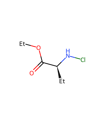 CCOC(=O)[C@H](CC)NCl